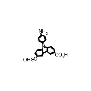 Nc1ccc(-n2c3ccc(OC=O)cc3c3cc(C(=O)O)ccc32)cc1